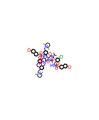 COc1ccc2cc(S(=O)(=O)N[C@H](CC(=O)N[C@@H](C(=O)N(C)C(C)C)C(c3ccc(CN4[C@H](C)CCC[C@@H]4C)cc3)[C@@H](C(=O)N(Cc3ccc(CN4[C@H](C)CCC[C@@H]4C)cc3)C(=O)N3CCCCC3)[C@@H](NS(=O)(=O)c3ccc4cc(OC)ccc4c3)c3ccccc3)c3ccc(Cl)cc3)ccc2c1